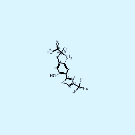 C[C@@](N)(Cc1ccc(-c2nc(C(F)(F)F)cs2)cc1)C(=O)O.Cl